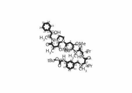 CC[C@H](C)[C@@H]([C@@H](CC(=O)N1CCC[C@H]1[C@H](OC)[C@@H](C)C(=O)N[C@H](C)[C@@H](O)c1ccccc1)OC)N(C)C(=O)[C@@H](NC(=O)[C@H](C(C)C)N(C)Cc1cccc(NC(=O)OC(C)(C)C)c1)C(C)C